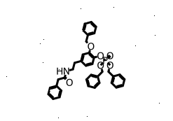 O=C(Cc1ccccc1)NCCc1ccc(OP(=O)(OCc2ccccc2)OCc2ccccc2)c(OCc2ccccc2)c1